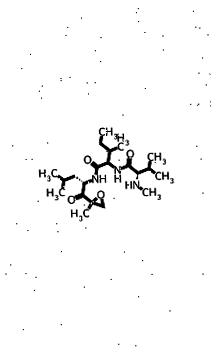 CCC(C)C(NC(=O)[C@@H](NC)C(C)C)C(=O)N[C@@H](CC(C)C)C(=O)C1(C)CO1